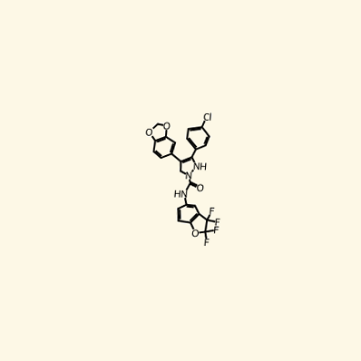 O=C(Nc1ccc2c(c1)C(F)(F)C(F)(F)O2)N1CC(c2ccc3c(c2)OCO3)=C(c2ccc(Cl)cc2)N1